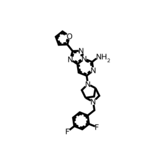 Nc1nc(N2CC3CC2CN3Cc2ccc(F)cc2F)cc2nc(-c3ccco3)nn12